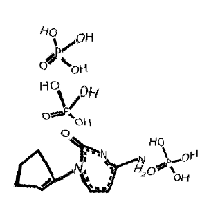 Nc1ccn(C2=CCCC2)c(=O)n1.O=P(O)(O)O.O=P(O)(O)O.O=P(O)(O)O